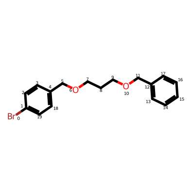 Brc1ccc(COCCCOCc2ccccc2)cc1